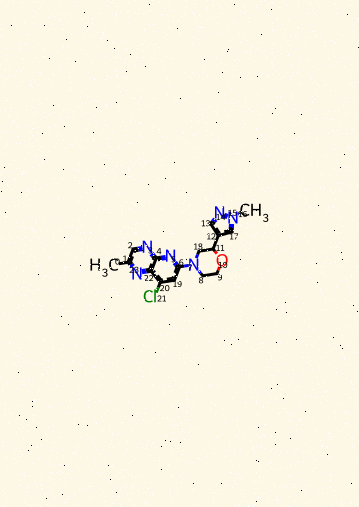 Cc1cnc2nc(N3CCOC(c4cnn(C)c4)C3)cc(Cl)c2n1